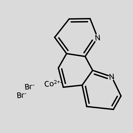 [Br-].[Br-].[Co+2].c1cnc2c(c1)ccc1cccnc12